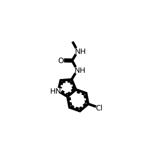 CNC(=O)Nc1c[nH]c2ccc(Cl)cc12